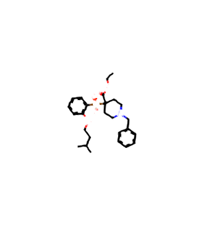 CCOC(=O)C1(S(=O)(=O)c2ccccc2OCCC(C)C)CCN(Cc2ccccc2)CC1